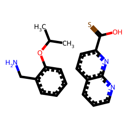 CC(C)Oc1ccccc1CN.OC(=S)c1ccc2cccnc2n1